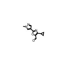 Cn1cc(-c2nc(C3CC3)c(C=O)o2)cn1